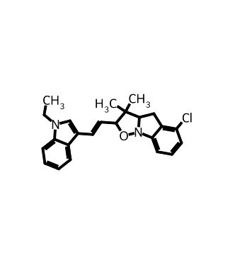 CCn1cc(C=CC2ON3c4cccc(Cl)c4CC3C2(C)C)c2ccccc21